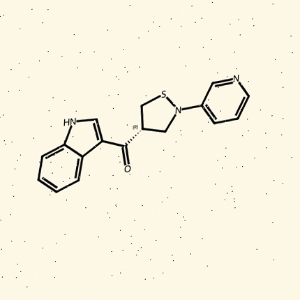 O=C(c1c[nH]c2ccccc12)[C@@H]1CSN(c2cccnc2)C1